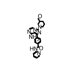 Nc1nccn2c(N3CCCC(C=O)C3)nc(-c3ccc(C(=O)Nc4ccccn4)cc3)c12